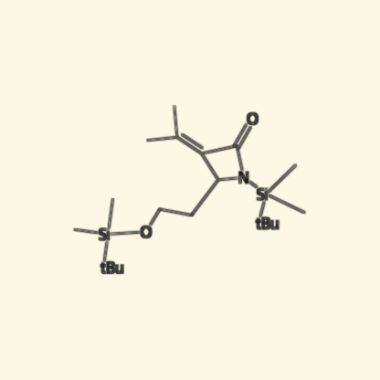 CC(C)=C1C(=O)N([Si](C)(C)C(C)(C)C)C1CCO[Si](C)(C)C(C)(C)C